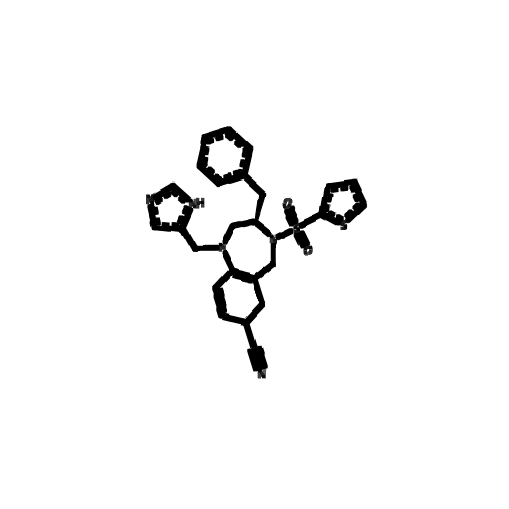 N#CC1C=CC2=C(C1)CN(S(=O)(=O)c1cccs1)[C@H](Cc1ccccc1)CN2Cc1cnc[nH]1